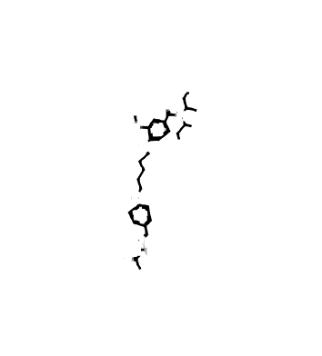 COc1cc(C(=O)N(C(C)CI)C(C)CI)ccc1OCCCCCOc1ccc(C=NNC(C)=O)cc1